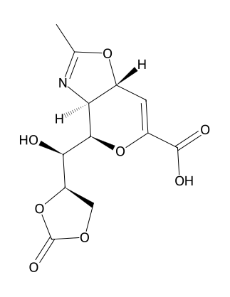 CC1=N[C@@H]2[C@H]([C@H](O)[C@H]3COC(=O)O3)OC(C(=O)O)=C[C@H]2O1